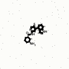 N[C@@H]1CCC[C@H](C(=O)Nc2cc(-c3cccc4[nH]ncc34)c(F)cn2)C1